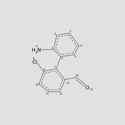 Nc1ccccc1-c1c(Cl)cccc1C=O